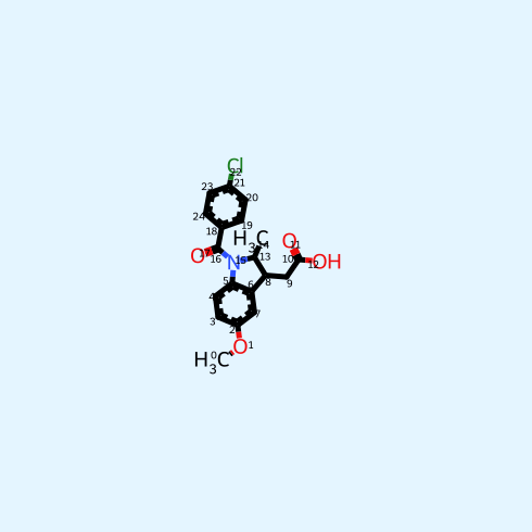 COc1ccc2c(c1)C(CC(=O)O)C(C)N2C(=O)c1ccc(Cl)cc1